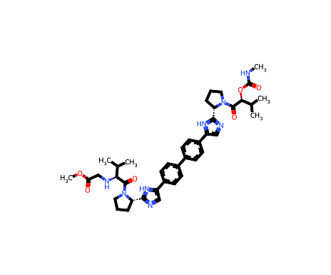 CNC(=O)O[C@H](C(=O)N1CCC[C@H]1c1ncc(-c2ccc(-c3ccc(-c4cnc([C@@H]5CCCN5C(=O)[C@@H](NCC(=O)OC)C(C)C)[nH]4)cc3)cc2)[nH]1)C(C)C